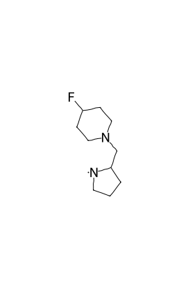 FC1CCN(CC2CCC[N]2)CC1